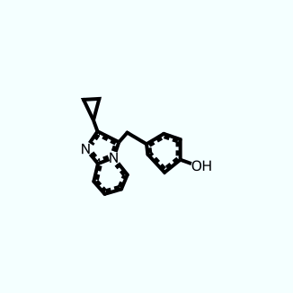 Oc1ccc(Cc2c(C3CC3)nc3ccccn23)cc1